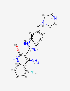 Nc1c(-c2nc3ccc(CN4CCNCC4)cc3[nH]2)c(=O)[nH]c2cccc(F)c12